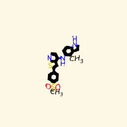 Cc1c(Nc2ccnc3sc(-c4ccc(S(C)(=O)=O)cc4)cc23)ccc2[nH]ccc12